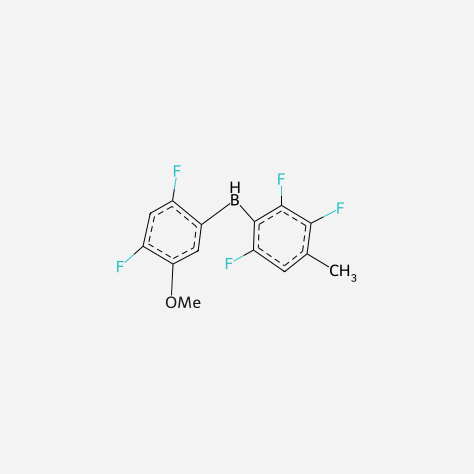 COc1cc(Bc2c(F)cc(C)c(F)c2F)c(F)cc1F